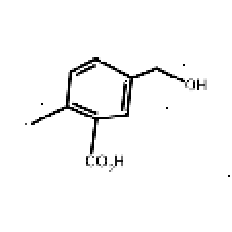 [CH2]c1ccc(CO)cc1C(=O)O